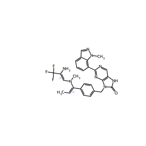 C/C=C(/c1ccc(Cn2c(=O)[nH]c3cnc(-c4cccc5cnn(C)c45)nc32)cc1)N(C)/C=C(\N)C(F)(F)F